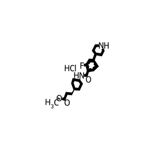 COC(=O)CC[C@H]1CC[C@H](NC(=O)c2ccc(C3CCNCC3)cc2F)CC1.Cl